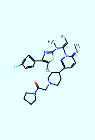 CC/C=C(\N(C)c1nc(-c2ccc(F)cc2)c(C#N)s1)n1cc(C2CCN(CC(=O)N3CCCC3)CC2)cc/c1=N/C